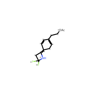 CC(=O)OCCC1=CCC(=C2CC(F)(F)N2)C=C1